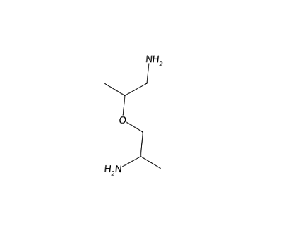 CC(N)COC(C)CN